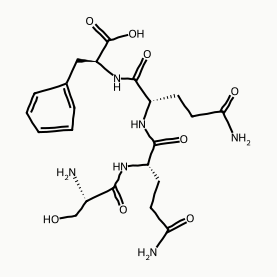 NC(=O)CC[C@H](NC(=O)[C@H](CCC(N)=O)NC(=O)[C@@H](N)CO)C(=O)N[C@@H](Cc1ccccc1)C(=O)O